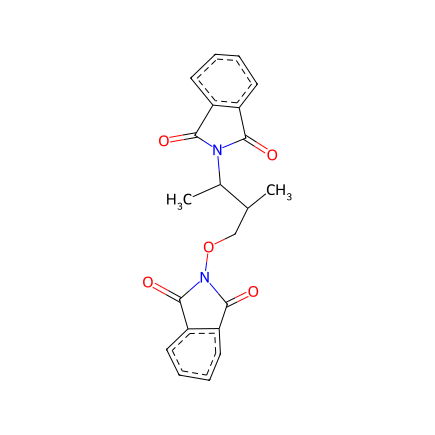 CC(CON1C(=O)c2ccccc2C1=O)C(C)N1C(=O)c2ccccc2C1=O